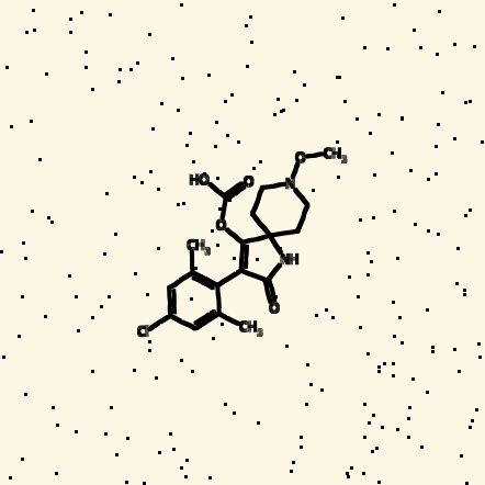 CON1CCC2(CC1)NC(=O)C(c1c(C)cc(Cl)cc1C)=C2OC(=O)O